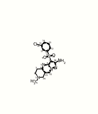 CN1CCc2nc3c(S(=O)(=O)c4cccc(Cl)c4)c(N)nn3cc2C1